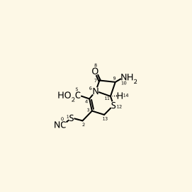 N#CSCC1=C(C(=O)O)N2C(=O)C(N)[C@H]2SC1